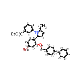 CCOC(=O)c1cccc(-n2c(C)ccc2-c2ccc(Br)cc2OCc2ccc(-c3ccccc3)cc2)c1